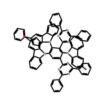 Cc1ccc2c(c1)c1ccccc1n2-c1cc(-c2nc(-c3ccccc3)nc(-c3ccccc3)n2)c(-n2c3ccccc3c3cc(C)ccc32)c(-c2nc(-c3ccccc3)nc(-c3ccccc3)n2)c1-n1c2ccccc2c2cc(-c3ccccc3)ccc21